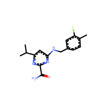 Cc1ccc(CNc2cc(C(C)C)nc(C(N)=O)n2)cc1F